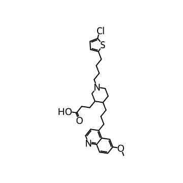 COc1ccc2nccc(CCCC3CCN(CCCCc4ccc(Cl)s4)CC3CCC(=O)O)c2c1